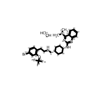 CN(C)c1nc(N[C@H]2CC[C@@H](CNCCc3ccc(Br)cc3OC(F)(F)F)CC2)nc2ccccc12.Cl.Cl